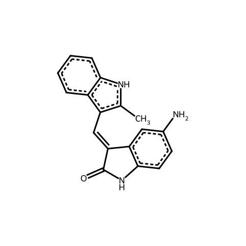 Cc1[nH]c2ccccc2c1C=C1C(=O)Nc2ccc(N)cc21